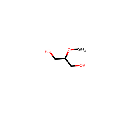 OCC(CO)O[SiH3]